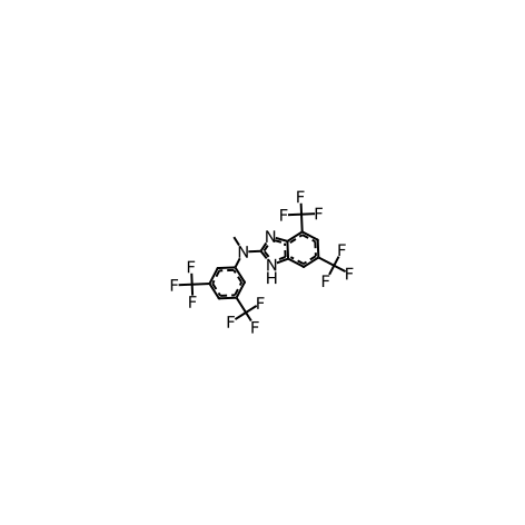 CN(c1cc(C(F)(F)F)cc(C(F)(F)F)c1)c1nc2c(C(F)(F)F)cc(C(F)(F)F)cc2[nH]1